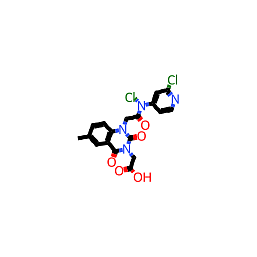 Cc1ccc2c(c1)c(=O)n(CC(=O)O)c(=O)n2CC(=O)N(Cl)c1ccnc(Cl)c1